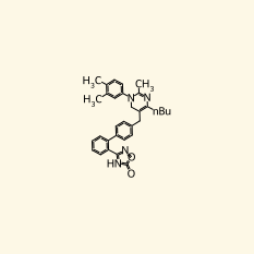 CCCCC1=C(Cc2ccc(-c3ccccc3-c3noc(=O)[nH]3)cc2)CN(c2ccc(C)c(C)c2)C(C)=N1